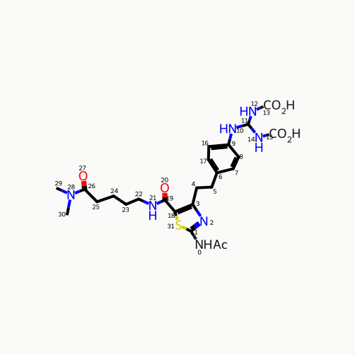 CC(=O)Nc1nc(CCc2ccc(NC(NC(=O)O)NC(=O)O)cc2)c(C(=O)NCCCCC(=O)N(C)C)s1